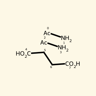 CC(N)=O.CC(N)=O.O=C(O)CCC(=O)O